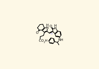 CC(Nc1ccc2c(c1)/C(=C/c1[nH]c3c(c1CCC(=O)O)C(=O)CCC3)C(=O)N2)c1ccccc1